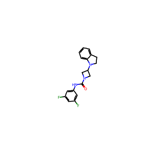 O=C(Nc1cc(F)cc(F)c1)N1CC(N2CCc3ccccc32)C1